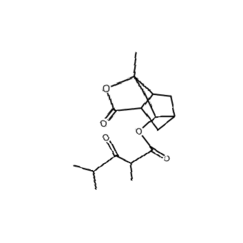 CC(C)C(=O)C(C)C(=O)OC1C2CC3C(=O)OC1(C)C3C2